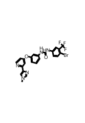 Cn1cnc(-c2cc(Oc3cccc(NC(=O)Nc4ccc(Br)c(C(F)(F)F)c4)c3)ccn2)c1